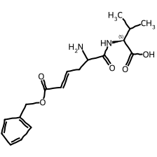 CC(C)[C@H](NC(=O)C(N)CC=CC(=O)OCc1ccccc1)C(=O)O